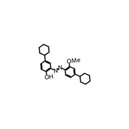 COc1cc(C2CCCCC2)ccc1N=Nc1cc(C2CCCCC2)ccc1O